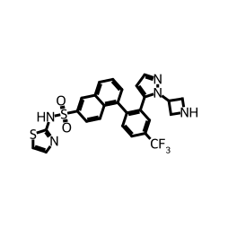 O=S(=O)(Nc1nccs1)c1ccc2c(-c3ccc(C(F)(F)F)cc3-c3ccnn3C3CNC3)cccc2c1